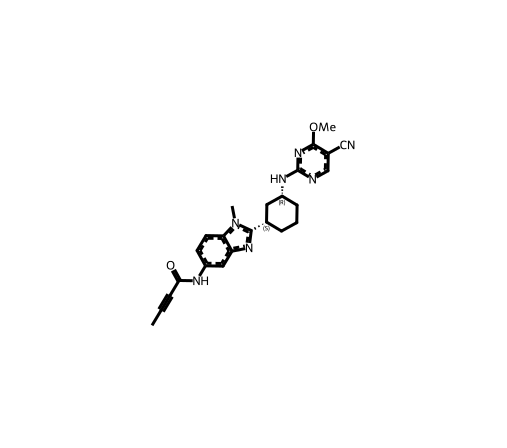 CC#CC(=O)Nc1ccc2c(c1)nc([C@H]1CCC[C@@H](Nc3ncc(C#N)c(OC)n3)C1)n2C